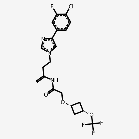 C=C(CCn1cnc(-c2ccc(Cl)c(F)c2)c1)NC(=O)CO[C@H]1C[C@@H](OC(F)(F)F)C1